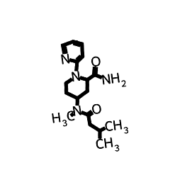 CC(C)CC(=O)N(C)C1CCN(c2cc[c]cn2)C(C(N)=O)C1